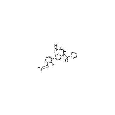 COc1cccc(-c2ccc(NC(=O)c3ccccc3)c3c2CNC3=O)c1F